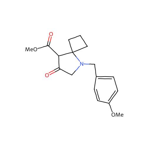 COC(=O)C1C(=O)CN(Cc2ccc(OC)cc2)C12CCC2